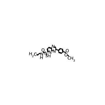 C=CCNC(=O)N(S)c1ccc2ncc(-c3ccc(C(=O)OCC)cc3)nc2n1